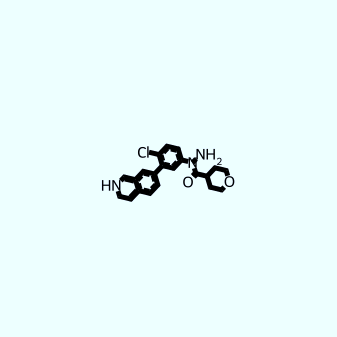 NN(C(=O)C1CCOCC1)c1ccc(Cl)c(-c2ccc3c(c2)=CNCC=3)c1